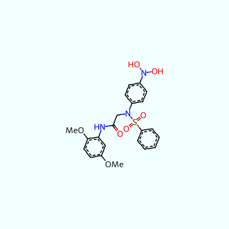 COc1ccc(OC)c(NC(=O)CN(c2ccc(N(O)O)cc2)S(=O)(=O)c2ccccc2)c1